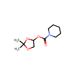 CC1(C)OCC(OC(=O)N2CCCCC2)O1